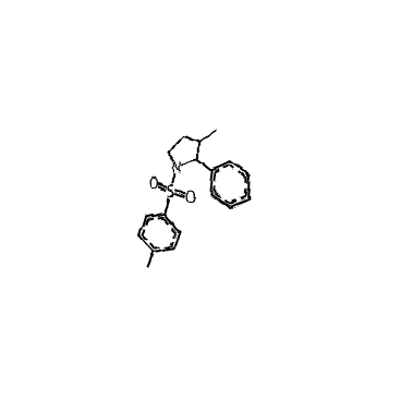 Cc1ccc(S(=O)(=O)N2CCC(C)C2c2ccccc2)cc1